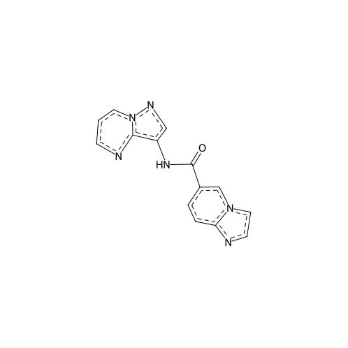 O=C(Nc1cnn2cccnc12)c1ccc2nccn2c1